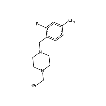 C[C](C)CN1CCN(Cc2ccc(C(F)(F)F)cc2F)CC1